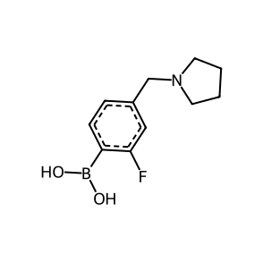 OB(O)c1ccc(CN2CCCC2)cc1F